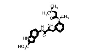 CN(C)CC(=O)N(C)c1cccc(CC(N)C(=O)Nc2ccc3[nH]c(C(=O)O)cc3c2)c1